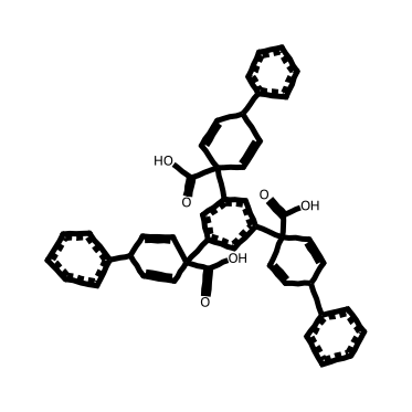 O=C(O)C1(c2cc(C3(C(=O)O)C=CC(c4ccccc4)C=C3)cc(C3(C(=O)O)C=CC(c4ccccc4)C=C3)c2)C=CC(c2ccccc2)C=C1